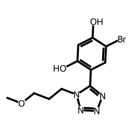 COCCCn1nnnc1-c1cc(Br)c(O)cc1O